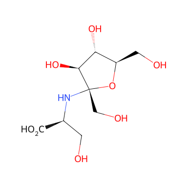 O=C(O)[C@H](CO)N[C@@]1(CO)O[C@H](CO)[C@@H](O)[C@@H]1O